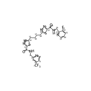 O=C(NCc1cc(C(F)(F)F)ccn1)c1nnc(CCCCc2nnc(C(=O)NCc3ncccc3F)s2)s1